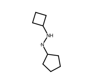 C1CCC([N]NC2CCC2)C1